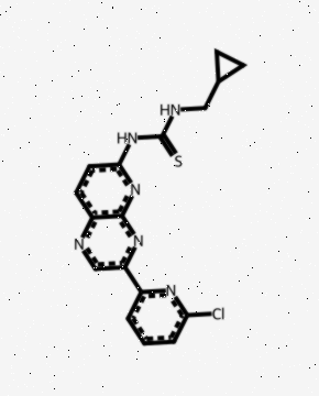 S=C(NCC1CC1)Nc1ccc2ncc(-c3cccc(Cl)n3)nc2n1